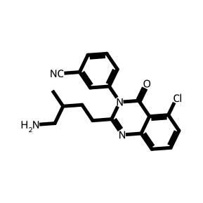 CC(CN)CCc1nc2cccc(Cl)c2c(=O)n1-c1cccc(C#N)c1